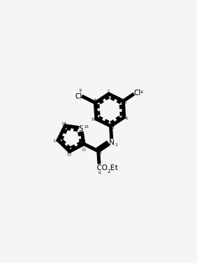 CCOC(=O)C(=Nc1cc(Cl)cc(Cl)c1)c1cccs1